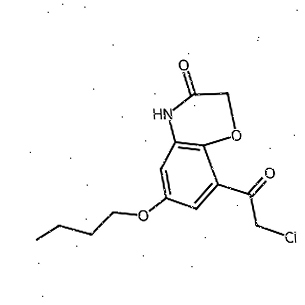 CCCCOc1cc2c(c(C(=O)CCl)c1)OCC(=O)N2